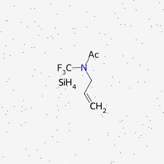 C=CCN(C(C)=O)C(F)(F)F.[SiH4]